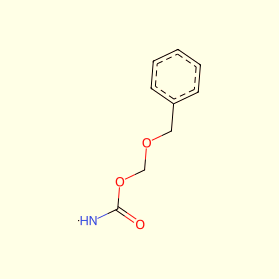 [NH]C(=O)OCOCc1ccccc1